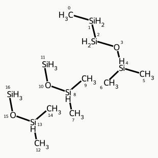 C[SiH2][SiH2]O[SiH](C)C.C[SiH](C)O[SiH3].C[SiH](C)O[SiH3]